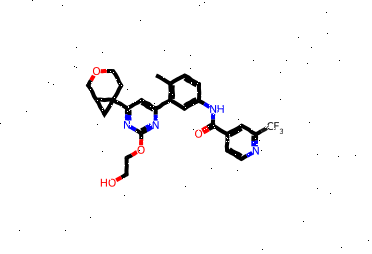 Cc1ccc(NC(=O)c2ccnc(C(F)(F)F)c2)cc1-c1cc(C23CCOCC2C3)nc(OCCO)n1